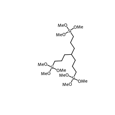 CO[Si](CCCC(CCC[Si](OC)(OC)OC)CCC[Si](OC)(OC)OC)(OC)OC